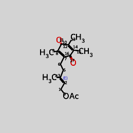 CC(=O)OC/C=C(\C)CCC1=C(C)C(=O)C(C)=C(C)C1=O